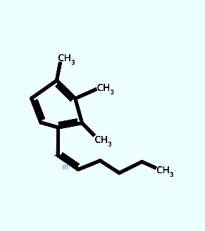 CCCC/C=[C]\c1ccc(C)c(C)c1C